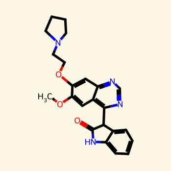 COc1cc2c(C3C(=O)Nc4ccccc43)ncnc2cc1OCCN1CCCC1